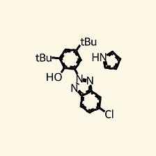 CC(C)(C)c1cc(-n2nc3ccc(Cl)cc3n2)c(O)c(C(C)(C)C)c1.c1cc[nH]c1